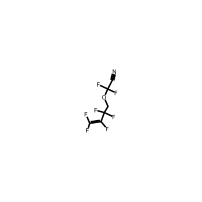 N#CC(F)(F)OCC(F)(F)C(F)=C(F)F